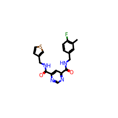 Cc1cc(CNC(=O)c2cc(C(=O)NCc3ccsc3)ncn2)ccc1F